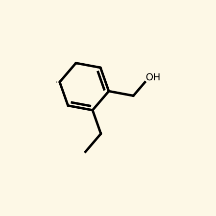 CCC1=C[CH]CC=C1CO